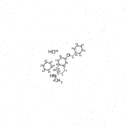 CN[C@H]1CCc2cc(OCc3ccccc3)ccc2[C@H]1c1ccccc1.Cl